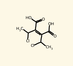 CC(Cl)C(C(=O)O)=C(C(=O)O)C(C)Cl